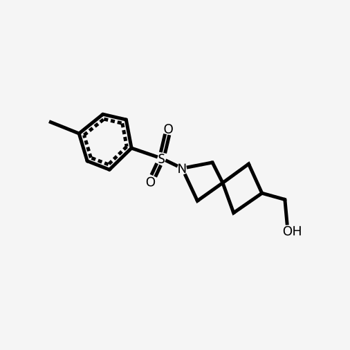 Cc1ccc(S(=O)(=O)N2CC3(CC(CO)C3)C2)cc1